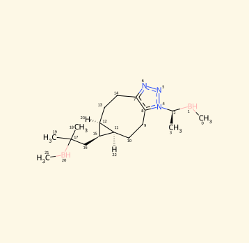 CB[C@@H](C)n1nnc2c1CC[C@@H]1[C@H](CC2)[C@@H]1CC(C)(C)BC